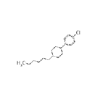 CCCCCCC1CCC(c2ccc(Cl)cc2)CC1